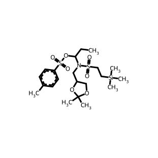 CCC(OS(=O)(=O)c1ccc(C)cc1)N(CC1COC(C)(C)O1)S(=O)(=O)CC[Si](C)(C)C